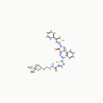 CC(C)(C)[Si](C)(C)OCCCCNC(=O)c1cnc(N/N=C2/C(=O)N(c3nc(-c4ccccc4)cs3)N=C2c2ccccc2)s1